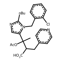 CCCCc1ncc(C(C)(OC(C)=O)C(Cc2ccncc2)C(=O)O)n1Cc1ccccc1Cl